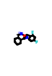 N#Cc1ccccc1/[C]=N\OCc1ccc(F)cc1F